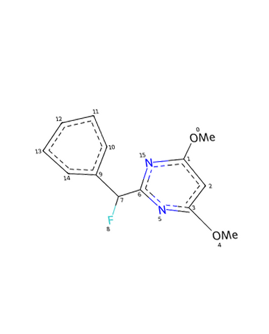 COc1cc(OC)nc(C(F)c2ccccc2)n1